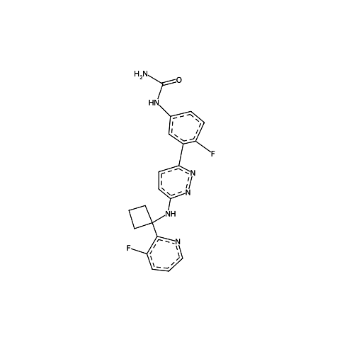 NC(=O)Nc1ccc(F)c(-c2ccc(NC3(c4ncccc4F)CCC3)nn2)c1